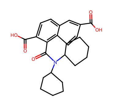 O=C(O)c1ccc2c(C(=O)N(C3CCCCC3)C3CCCCC3)c(C(=O)O)ccc2c1